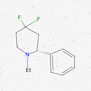 CCN1CCC(F)(F)C[C@@H]1c1ccccc1